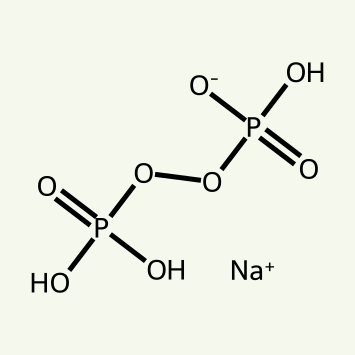 O=P([O-])(O)OOP(=O)(O)O.[Na+]